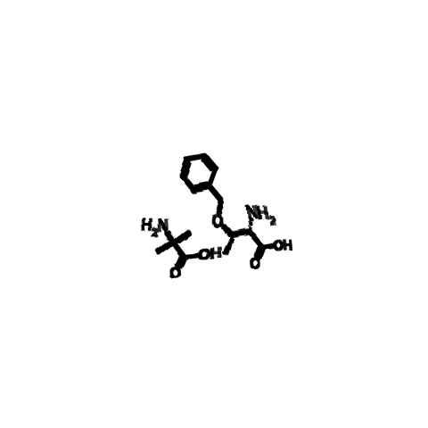 CC(C)(N)C(=O)O.C[C@@H](OCc1ccccc1)[C@H](N)C(=O)O